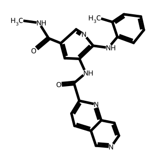 CNC(=O)c1cnc(Nc2ccccc2C)c(NC(=O)c2ccc3cnccc3n2)c1